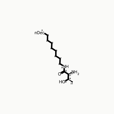 CCCCCCCCCCCCCCCCCCNC(=O)[C@@H](N)[C@@H](C)O